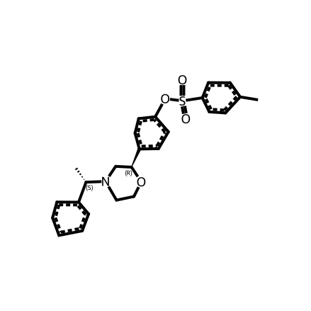 Cc1ccc(S(=O)(=O)Oc2ccc([C@@H]3CN([C@@H](C)c4ccccc4)CCO3)cc2)cc1